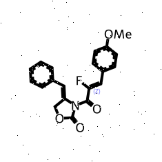 COc1ccc(/C=C(\F)C(=O)N2C(=O)OCC2=Cc2ccccc2)cc1